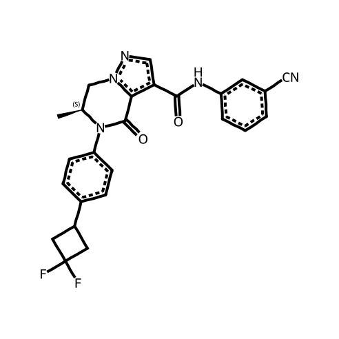 C[C@H]1Cn2ncc(C(=O)Nc3cccc(C#N)c3)c2C(=O)N1c1ccc(C2CC(F)(F)C2)cc1